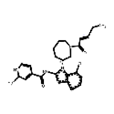 CC1C=C(C(=O)Nc2nc3cccc(Cl)c3n2[C@@H]2CCCCN(C(=O)/C=C/CN)C2)C=CN1